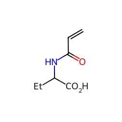 C=CC(=O)NC(CC)C(=O)O